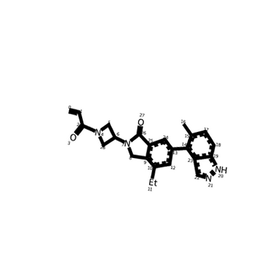 C=CC(=O)N1CC(N2Cc3c(CC)cc(-c4c(C)ccc5[nH]ncc45)cc3C2=O)C1